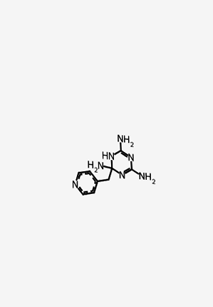 NC1=NC(N)(Cc2ccncc2)NC(N)=N1